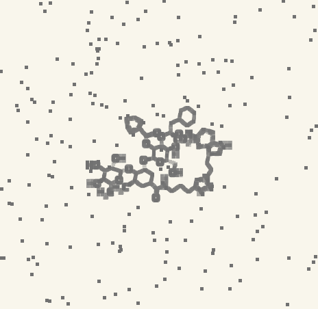 CC1O[C@@H](OC2[C@H](C)CC(C(=O)NCCCc3cn(CCc4c[nH]c5ccc([N+](=O)[O-])cc45)nn3)C[C@H]2O[C@@H]2O[C@@H](CO)[C@H](O)C(O[C@@H](CC3CCCCC3)C(=O)O)C2OC(=O)c2ccccc2)[C@@H](O)C(O)[C@@H]1O